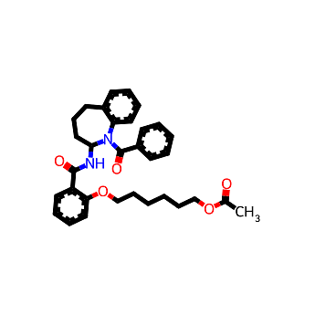 CC(=O)OCCCCCCOc1ccccc1C(=O)NC1CCCc2ccccc2N1C(=O)c1ccccc1